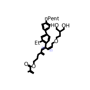 C=C(/C=C(\C=C/COCCC(CO)CO)c1ccc(-c2ccc(CCCCC)cc2)cc1CC)CCCOC(=O)C(=C)C